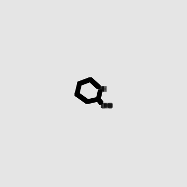 O=CC1C[CH]CCN1